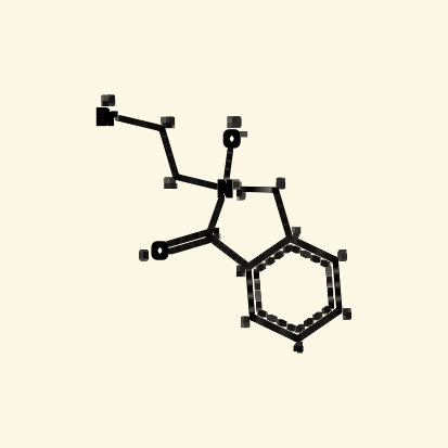 O=C1c2ccccc2C[N+]1([O-])CCBr